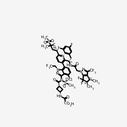 C[C@@H]1c2c(C(F)(F)F)nn(CC(=O)N[C@@H](Cc3cc(F)cc(F)c3)c3nc(CCC(C)(C)S(C)(=O)=O)ccc3-c3ccc(Cl)c4c(N(C(=O)[C@H]5C[C@H](NC(=O)C(=O)O)C5)S(C)(=O)=O)nn(CC(F)(F)F)c34)c2C(F)(F)[C@@H]1C